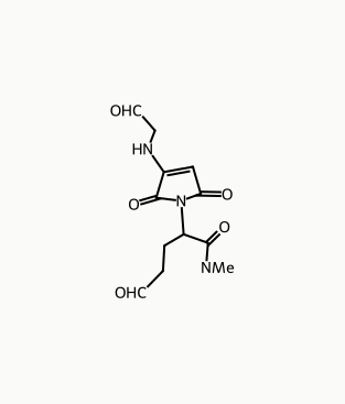 CNC(=O)C(CCC=O)N1C(=O)C=C(NCC=O)C1=O